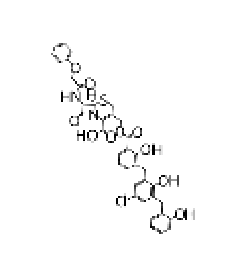 O=C(COc1ccccc1)NC1C(=O)N2C(C(=O)O)=C(COC(=O)c3cccc(Cc4cc(Cl)cc(Cc5ccccc5O)c4O)c3O)CS[C@@H]12